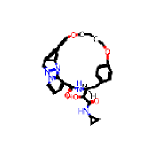 O=C1N[C@H](C(O)C(=O)NC2CC2)Cc2ccc(cc2)OCCCCOc2ccc3c(cnn3-c3ncccc31)c2